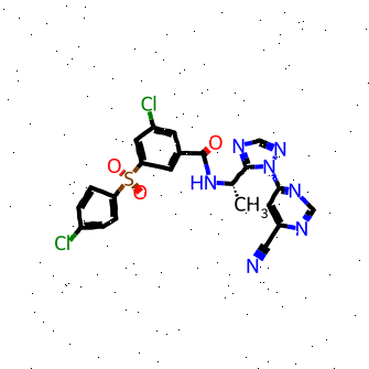 C[C@H](NC(=O)c1cc(Cl)cc(S(=O)(=O)c2ccc(Cl)cc2)c1)c1ncnn1-c1cc(C#N)ncn1